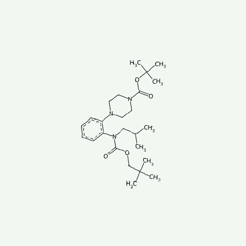 CC(C)CN(C(=O)OCC(C)(C)C)c1ccccc1N1CCN(C(=O)OC(C)(C)C)CC1